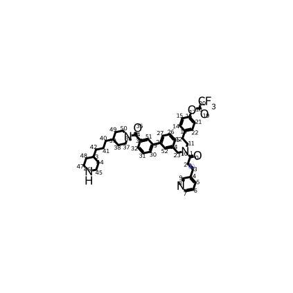 O=C(/C=C/c1cccnc1)N(CCc1ccc(OC(=O)C(F)(F)F)cc1)Cc1cccc(-c2cccc(C(=O)N3CCC(CCCC4CCNCC4)CC3)c2)c1